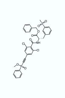 COP(=O)(C#Cc1cc(Cl)c(C(=O)N[C@@H](Cc2cccc(S(C)(=O)=O)c2)C(=O)OCc2ccccc2)c(Cl)c1)c1ccccc1